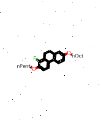 CCCCCCCCOc1ccc2c(c1)CCc1c-2ccc(OCCCCC)c1F